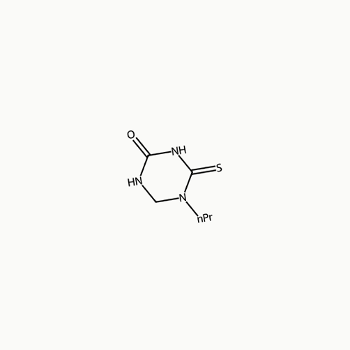 CCCN1CNC(=O)NC1=S